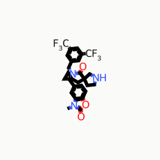 Cn1c(=O)oc2ccc(CN(Cc3cc(C(F)(F)F)cc(C(F)(F)F)c3)C(=O)C3(CC4CC4)CCNC3)cc21